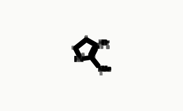 Br.CSC1=NCCN1